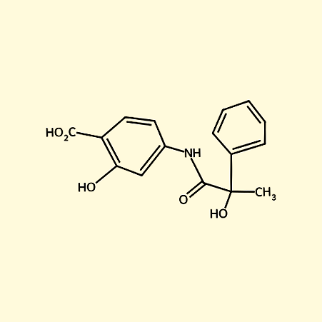 CC(O)(C(=O)Nc1ccc(C(=O)O)c(O)c1)c1ccccc1